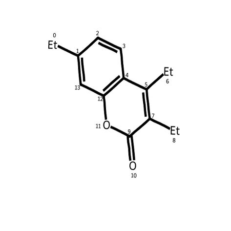 CCc1ccc2c(CC)c(CC)c(=O)oc2c1